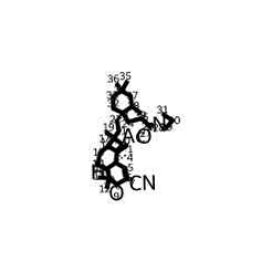 CC(=O)/C=C1/[C@@]2(C)C=C(C#N)C(=O)C(C)(C)[C@@H]2CC[C@@]1(C)C(C)(C)CC[C@@]1(CCC(=O)N2CCC2)CCC(C)(C)CC1C